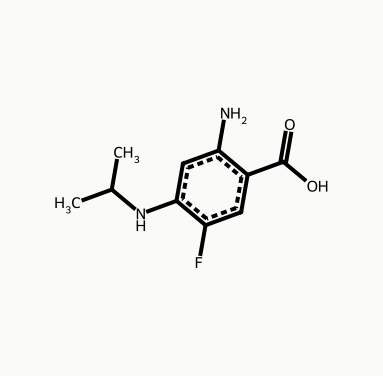 CC(C)Nc1cc(N)c(C(=O)O)cc1F